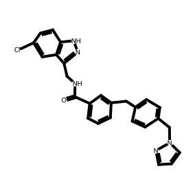 O=C(NCc1n[nH]c2ccc(Cl)cc12)c1cccc(Cc2ccc(Cn3cccn3)cc2)c1